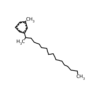 CCCCCCCCCCCCCCC(C)c1cccc(C)c1